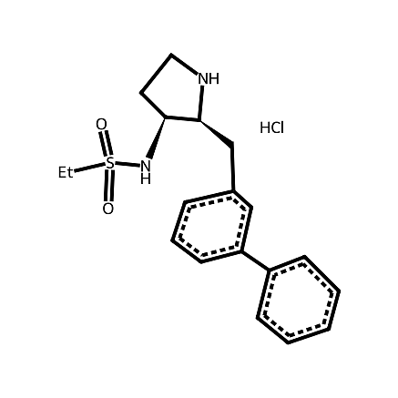 CCS(=O)(=O)N[C@H]1CCN[C@H]1Cc1cccc(-c2ccccc2)c1.Cl